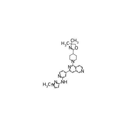 Cn1ccc(Nc2cc(-c3cc4cnccc4c(N4CCC(C5=NC(C)(C)CO5)CC4)n3)ccn2)n1